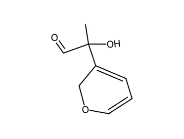 CC(O)(C=O)C1=CC=COC1